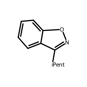 CCCC(C)c1noc2ccccc12